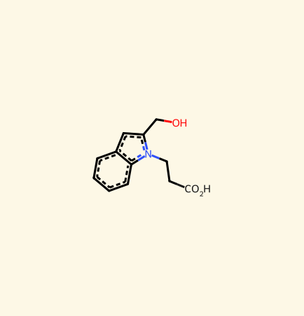 O=C(O)CCn1c(CO)cc2ccccc21